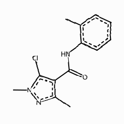 Cc1ccccc1NC(=O)c1c(C)nn(C)c1Cl